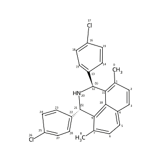 Cc1ccc2ccc(C)c3c2c1[C@H](c1ccc(Cl)cc1)N[C@H]3c1ccc(Cl)cc1